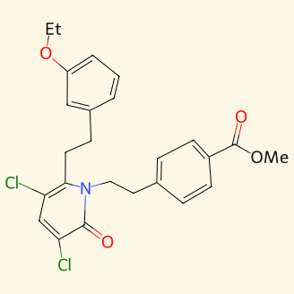 CCOc1cccc(CCc2c(Cl)cc(Cl)c(=O)n2CCc2ccc(C(=O)OC)cc2)c1